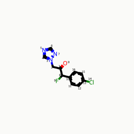 O=C(Cn1cncn1)C(F)c1ccc(Cl)cc1